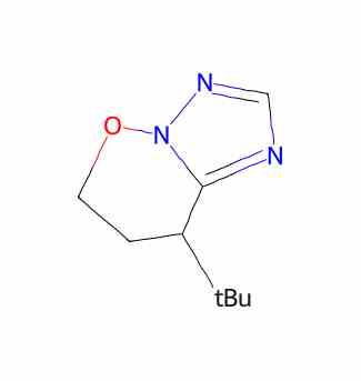 CC(C)(C)C1CCOn2ncnc21